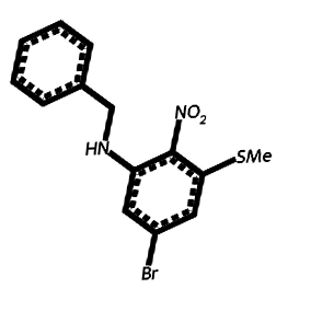 CSc1cc(Br)cc(NCc2ccccc2)c1[N+](=O)[O-]